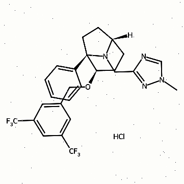 Cl.Cn1cnc(CN2[C@H]3CC[C@@H](OCc4cc(C(F)(F)F)cc(C(F)(F)F)c4)[C@]2(c2ccccc2)CC3)n1